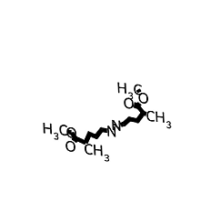 COC(=O)C(C)CCCN=NCCCC(C)C(=O)OC